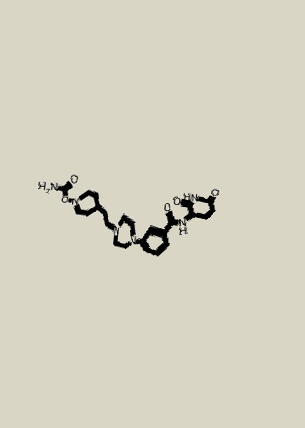 NC(=O)ON1CCC(CCN2CCN(c3cccc(C(=O)NC4CCC(=O)NC4=O)c3)CC2)CC1